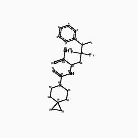 CC(c1ccccc1)C(F)(F)CC(NC(=O)N1CCC2(CC1)CC2)C(=O)O